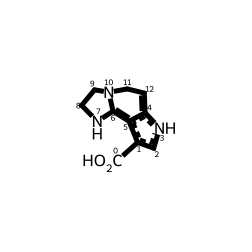 O=C(O)c1c[nH]c2c1=C1NCCN1CC=2